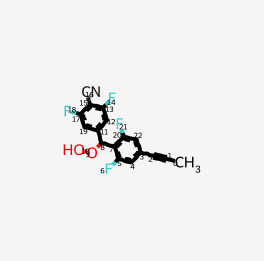 CC#Cc1cc(F)c(C(OO)c2cc(F)c(C#N)c(F)c2)c(F)c1